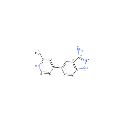 Cc1cc(-c2ccc3[nH]nc(N)c3c2)ccn1